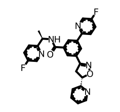 C[C@@H](NC(=O)c1cc(C2=NO[C@H](c3ccccn3)C2)cc(-c2ccc(F)cn2)c1)c1ccc(F)cn1